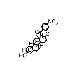 C[C@]12CC[C@H](O)CC1=CC[C@@H]1[C@@H]2CC[C@@]2(C)[C@H]1CCC(=O)N2C(=O)c1ccc([N+](=O)[O-])cc1